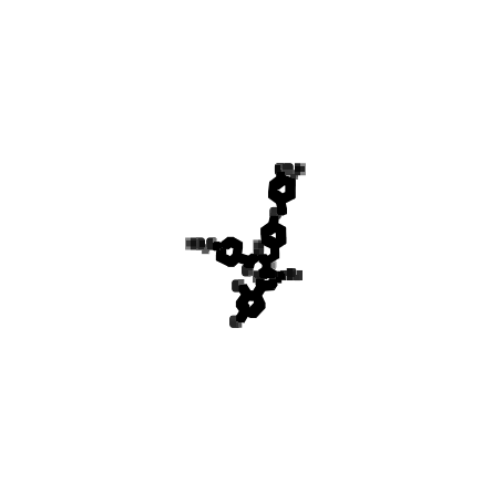 CCCCn1cc(-c2ccc(Cl)cc2Cl)nc1[C@H](Cc1ccc(OCc2ccc(C(=O)O)cc2)cc1)NC(=O)C1CCN(C(=O)O)CC1